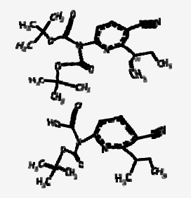 CCC(C)c1nc(N(C(=O)O)C(=O)OC(C)(C)C)ccc1C#N.CC[C@@H](C)c1nc(N(C(=O)OC(C)(C)C)C(=O)OC(C)(C)C)ccc1C#N